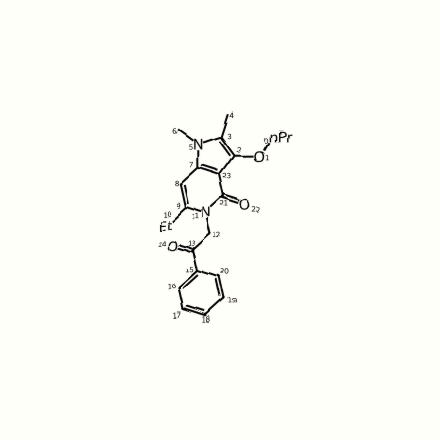 CCCOc1c(C)n(C)c2cc(CC)n(CC(=O)c3ccccc3)c(=O)c12